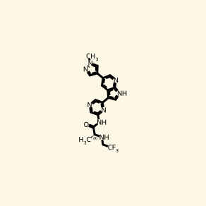 C[C@@H](NCC(F)(F)F)C(=O)Nc1cncc(-c2c[nH]c3ncc(-c4cnn(C)c4)cc23)n1